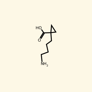 NCCCCC1(C(=O)O)CC1